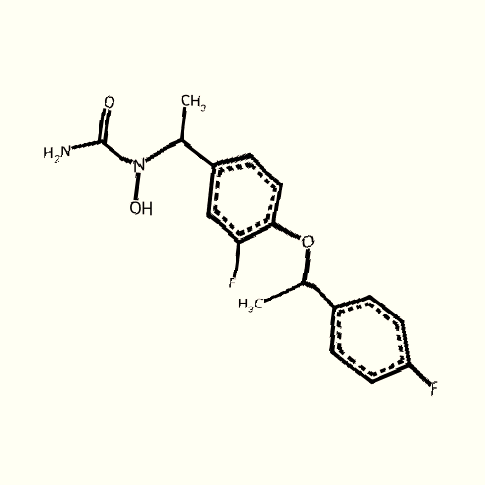 CC(Oc1ccc(C(C)N(O)C(N)=O)cc1F)c1ccc(F)cc1